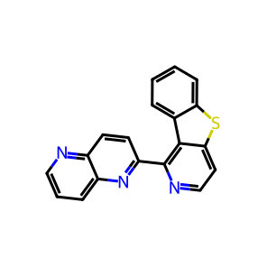 c1cnc2ccc(-c3nccc4sc5ccccc5c34)nc2c1